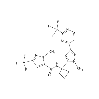 Cn1nc(C(F)(F)F)cc1C(=O)NC1(c2cc(-c3ccnc(C(F)(F)F)c3)nn2C)CCC1